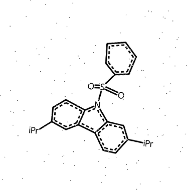 CC(C)c1ccc2c(c1)c1ccc(C(C)C)cc1n2S(=O)(=O)c1ccccc1